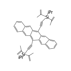 C=C(C)[Si](C#Cc1c2cc3ccccc3cc2c(C#C[Si](C(=C)C)(C(=C)C)C(C)C)c2cc3ccccc3cc12)(C(=C)C)C(C)C